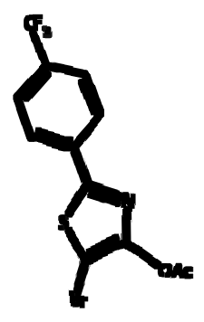 CC(=O)Oc1nc(-c2ccc(C(F)(F)F)cc2)sc1Br